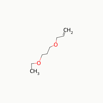 C=CCOCCCOCC